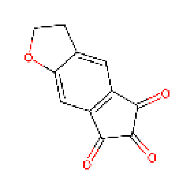 O=c1c(=O)c2cc3c(cc2c1=O)OCC3